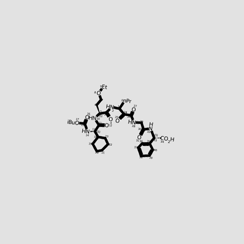 CCCC(NC(=O)[C@H](CCOCC)NC(=O)[C@@H](NC(=O)OCC(C)C)C1CCCCC1)C(=O)C(=O)NCC(=O)N[C@H](C(=O)O)c1ccccc1